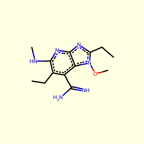 CCc1c(NC)nc2nc(CC)n(OC)c2c1C(=N)N